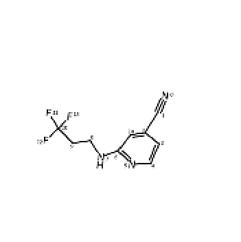 N#Cc1ccnc(NCCC(F)(F)F)c1